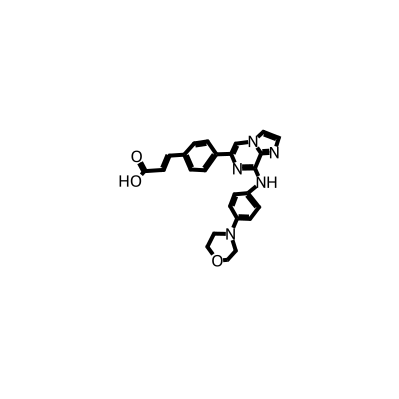 O=C(O)/C=C/c1ccc(-c2cn3ccnc3c(Nc3ccc(N4CCOCC4)cc3)n2)cc1